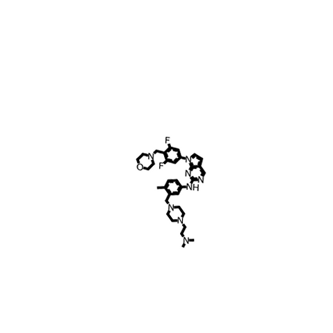 Cc1ccc(Nc2ncc3ccn(-c4cc(F)c(CN5CCOCC5)c(F)c4)c3n2)cc1CN1CCN(CCN(C)C)CC1